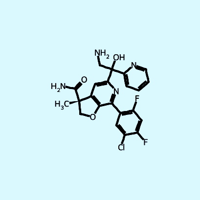 C[C@]1(C(N)=O)COc2c1cc(C(O)(CN)c1ccccn1)nc2-c1cc(Cl)c(F)cc1F